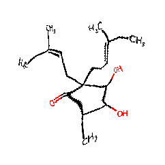 CC(C)=CCC1(CC=C(C)C)C(=O)C(C)C(O)C1O